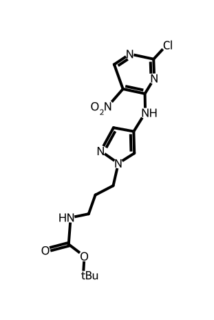 CC(C)(C)OC(=O)NCCCn1cc(Nc2nc(Cl)ncc2[N+](=O)[O-])cn1